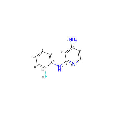 Nc1c[c]nc(Nc2ccccc2F)c1